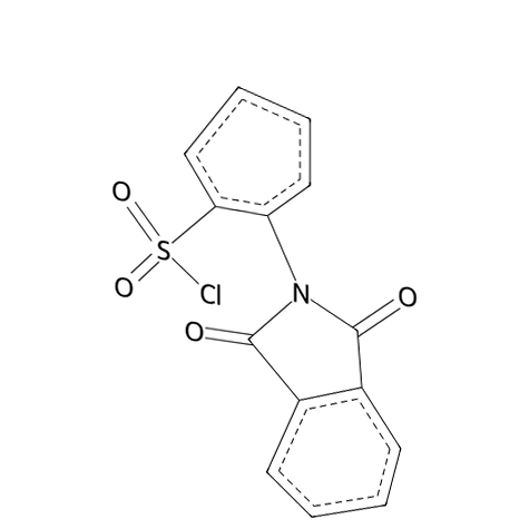 O=C1c2ccccc2C(=O)N1c1ccccc1S(=O)(=O)Cl